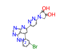 Nc1ncnc2nc(-c3ccc(N4C[C@@H](O)[C@H](O)C4)nn3)cc(-c3cccc(Br)c3)c12